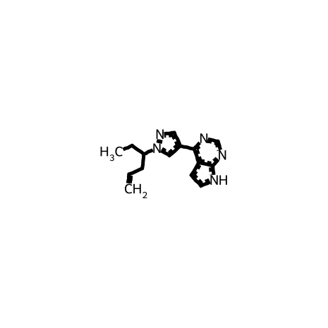 C=CCC(CC)n1cc(-c2ncnc3[nH]ccc23)cn1